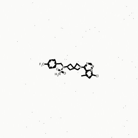 Cc1cc(Cl)n2ncnc(N3CC4(CC(N(Cc5ccc(C(F)(F)F)cc5)S(N)(=O)=O)C4)C3)c12